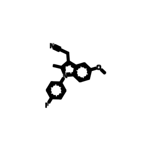 COc1ccc2c(c1)c(CC#N)c(C)n2-c1ccc(F)cc1